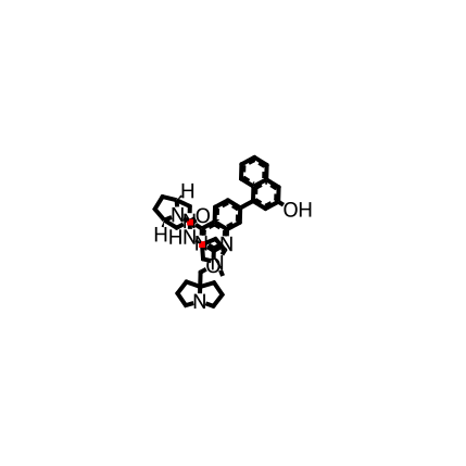 CN1CC[C@H](NC(=O)N2[C@@H]3CC[C@H]2CN(c2nc(OCC45CCCN4CCC5)nc4cc(-c5cc(O)cc6ccccc56)ccc24)C3)C1